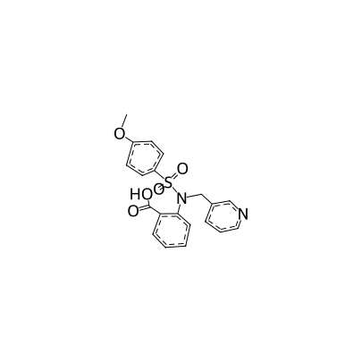 COc1ccc(S(=O)(=O)N(Cc2cccnc2)c2ccccc2C(=O)O)cc1